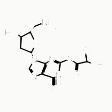 CC(C)C(=O)Nc1nc2c(ncn2[C@H]2CC(O)[C@@H](CN)O2)c(=O)[nH]1